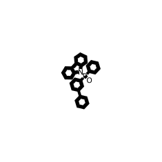 O=P(c1ccccc1)(c1cccc(-c2ccccc2)c1)n1c2ccccc2c2ccccc21